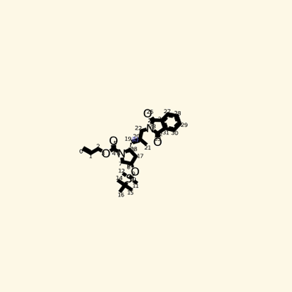 C=CCOC(=O)N1C[C@H](O[Si](C)(C)C(C)(C)C)C[C@H]1/C=C(\C)CN1C(=O)c2ccccc2C1=O